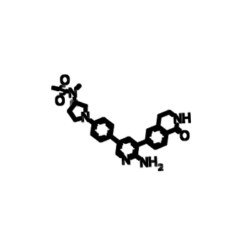 CN([C@@H]1CCN(c2ccc(-c3cnc(N)c(-c4ccc5c(c4)CCNC5=O)c3)cc2)C1)S(C)(=O)=O